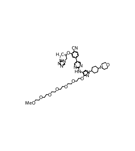 COCCOCCOCCOCCOCCOCCOc1nn(C2CCC(N3CCOCC3)CC2)cc1Nc1ncc(-c2ccc(C#N)c(O[C@@H](C)Cn3cnnn3)c2)cn1